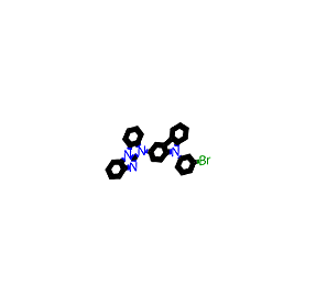 Brc1cccc(-n2c3ccccc3c3cc(-n4c5ccccc5n5c6ccccc6nc45)ccc32)c1